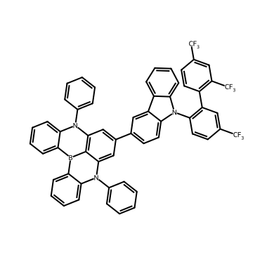 FC(F)(F)c1ccc(-n2c3ccccc3c3cc(-c4cc5c6c(c4)N(c4ccccc4)c4ccccc4B6c4ccccc4N5c4ccccc4)ccc32)c(-c2ccc(C(F)(F)F)cc2C(F)(F)F)c1